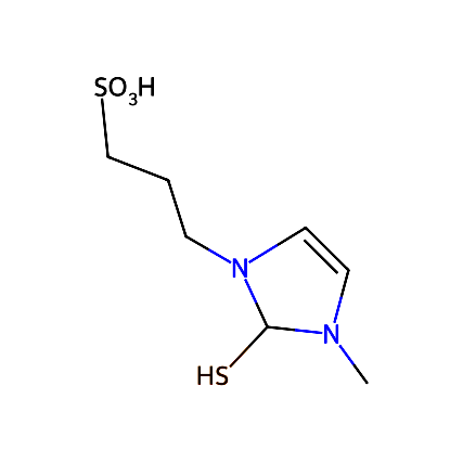 CN1C=CN(CCCS(=O)(=O)O)C1S